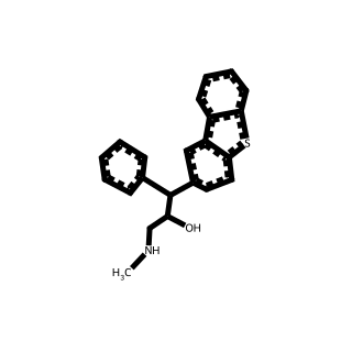 CNCC(O)C(c1ccccc1)c1ccc2sc3ccccc3c2c1